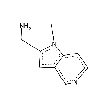 Cn1c(CN)cc2cnccc21